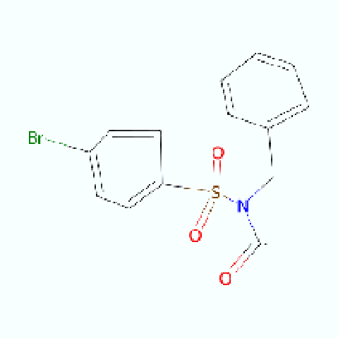 O=[C]N(Cc1ccccc1)S(=O)(=O)c1ccc(Br)cc1